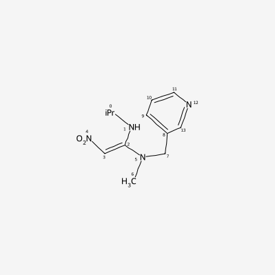 CC(C)NC(=C[N+](=O)[O-])N(C)Cc1cccnc1